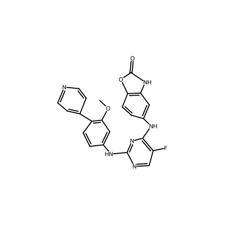 COc1cc(Nc2ncc(F)c(Nc3ccc4oc(=O)[nH]c4c3)n2)ccc1-c1ccncc1